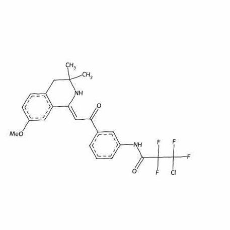 COc1ccc2c(c1)/C(=C/C(=O)c1cccc(NC(=O)C(F)(F)C(F)(F)Cl)c1)NC(C)(C)C2